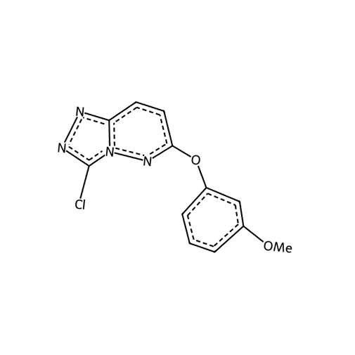 COc1cccc(Oc2ccc3nnc(Cl)n3n2)c1